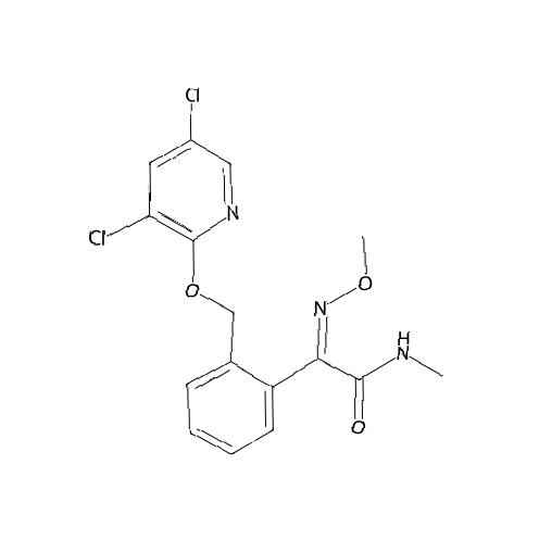 CNC(=O)C(=NOC)c1ccccc1COc1ncc(Cl)cc1Cl